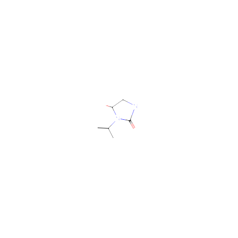 CC(C)N1C(=O)NCC1O